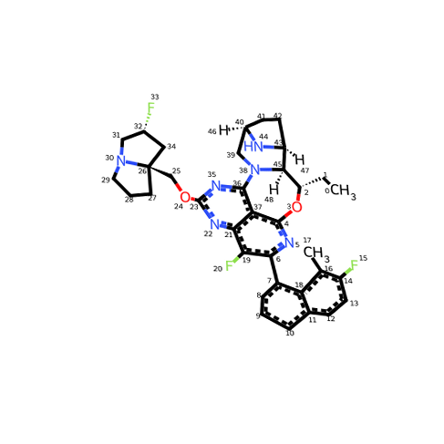 CC[C@@H]1Oc2nc(-c3cccc4ccc(F)c(C)c34)c(F)c3nc(OC[C@@]45CCCN4C[C@H](F)C5)nc(c23)N2C[C@H]3CC[C@H](N3)[C@@H]12